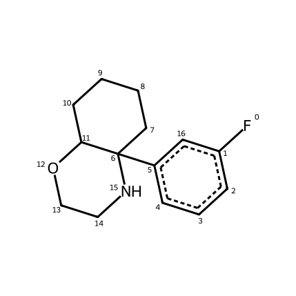 Fc1cccc(C23CCCCC2OCCN3)c1